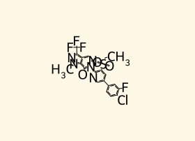 CCS(=O)(=O)c1cc(-c2ccc(Cl)c(F)c2)cnc1-n1ncc2c(C(F)(F)F)nn(C)c2c1=O